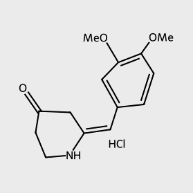 COc1ccc(C=C2CC(=O)CCN2)cc1OC.Cl